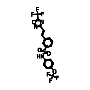 O=S(=O)(Nc1ccc(OC(F)(F)F)cc1)c1cccc(C=Cc2noc(C(F)(F)F)n2)c1